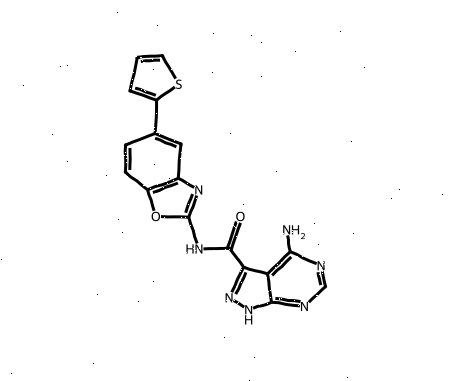 Nc1ncnc2[nH]nc(C(=O)Nc3nc4cc(-c5cccs5)ccc4o3)c12